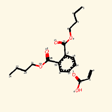 C=CC(=O)O.CCCCOC(=O)c1ccccc1C(=O)OCCCC